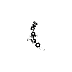 CC(C)n1nc([C@H]2CC[C@@H](C(F)(F)F)CC2)cc1[C@H]1[C@@H]2C[C@@H](N3CCC4(C3)CS(=O)(=O)C4)C[C@@H]21